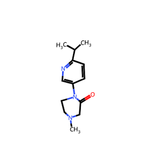 CC(C)c1ccc(N2CCN(C)CC2=O)cn1